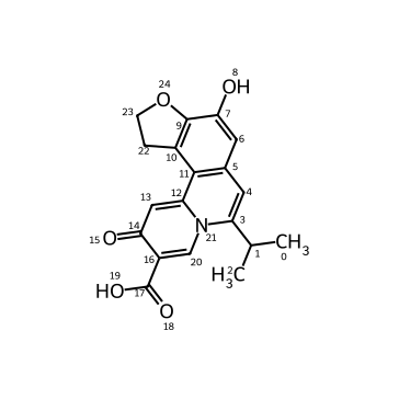 CC(C)c1cc2cc(O)c3c(c2c2cc(=O)c(C(=O)O)cn12)CCO3